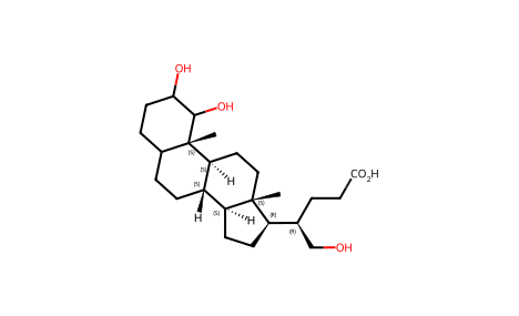 C[C@@]12C(CCC(O)C1O)CC[C@@H]1[C@@H]2CC[C@]2(C)[C@@H]([C@H](CO)CCC(=O)O)CC[C@@H]12